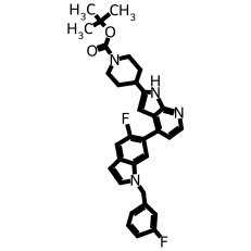 CC(C)(C)OC(=O)N1CCC(c2cc3c(-c4cc5c(ccn5Cc5cccc(F)c5)cc4F)ccnc3[nH]2)CC1